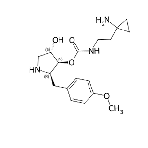 COc1ccc(C[C@H]2NC[C@H](O)[C@H]2OC(=O)NCCC2(N)CC2)cc1